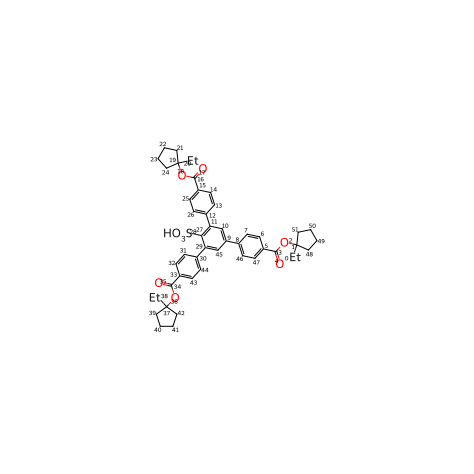 CCC1(OC(=O)c2ccc(-c3cc(-c4ccc(C(=O)OC5(CC)CCCC5)cc4)c(S(=O)(=O)O)c(-c4ccc(C(=O)OC5(CC)CCCC5)cc4)c3)cc2)CCCC1